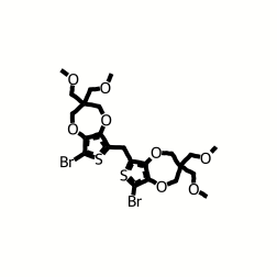 COCC1(COC)COc2c(Br)sc(Cc3sc(Br)c4c3OCC(COC)(COC)CO4)c2OC1